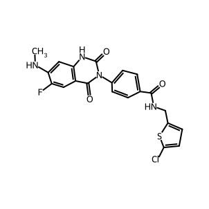 CNc1cc2[nH]c(=O)n(-c3ccc(C(=O)NCc4ccc(Cl)s4)cc3)c(=O)c2cc1F